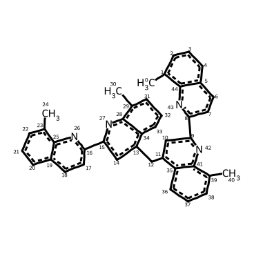 Cc1cccc2ccc(-c3cc(Cc4cc(-c5ccc6cccc(C)c6n5)nc5c(C)cccc45)c4cccc(C)c4n3)nc12